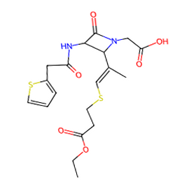 CCOC(=O)CCSC=C(C)C1C(NC(=O)Cc2cccs2)C(=O)N1CC(=O)O